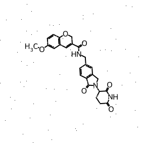 COc1ccc2c(c1)C=C(C(=O)NCc1ccc3c(c1)CN(C1CCC(=O)NC1=O)C3=O)CO2